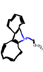 C=Cn1c2c(c3c1CC=CC=C3)CC=CC=C2